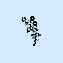 C#CCCC(=O)N/N=C(/[C@H](CC(C)C)NC(=O)[C@H](Cc1ccccc1)NC(=O)[C@H](CC(C)C)NC(=O)[C@H](CCc1ccccc1)NC(=O)CN1CCOCC1)[C@@]1(C)CO1